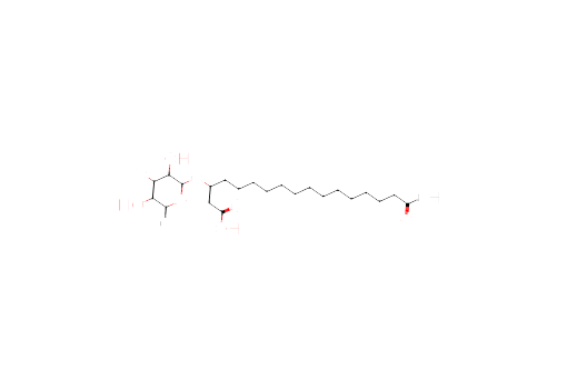 CC(=O)CCCCCCCCCCCCCC(CC(=O)O)OC1OC(C)C(O)C(O)C1O